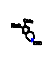 COc1cc2c(cc1OC)CCN(C=O)CC2